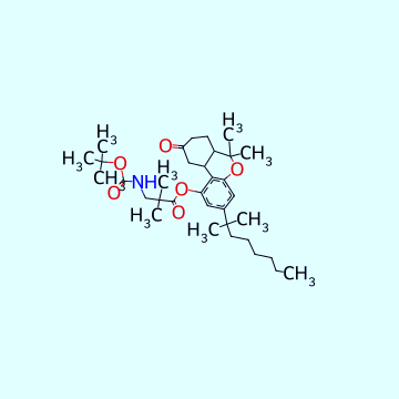 CCCCCCC(C)(C)c1cc(OC(=O)C(C)(C)CNC(=O)OC(C)(C)C)c2c(c1)OC(C)(C)C1CCC(=O)CC21